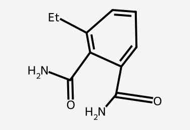 CCc1cccc(C(N)=O)c1C(N)=O